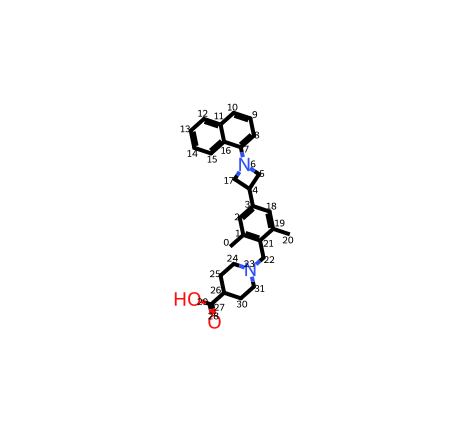 Cc1cc(C2CN(c3cccc4ccccc34)C2)cc(C)c1CN1CCC(C(=O)O)CC1